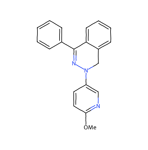 COc1ccc(N2Cc3ccccc3C(c3ccccc3)=N2)cn1